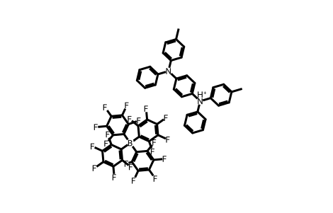 Cc1ccc(N(c2ccccc2)c2ccc([NH+](c3ccccc3)c3ccc(C)cc3)cc2)cc1.Fc1c(F)c(F)c([B-](c2c(F)c(F)c(F)c(F)c2F)(c2c(F)c(F)c(F)c(F)c2F)c2c(F)c(F)c(F)c(F)c2F)c(F)c1F